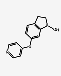 OB1CCc2ccc(Sc3ccncc3)cc21